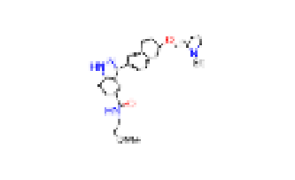 CCN1CCC[C@H]1COc1ccc2cc(-c3n[nH]c4ccc(C(=O)NCCOC)cc34)ccc2c1